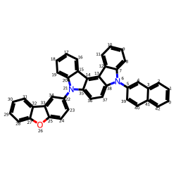 c1ccc2cc(-n3c4ccccc4c4c5c6ccccc6n(-c6ccc7oc8ccccc8c7c6)c5ccc43)ccc2c1